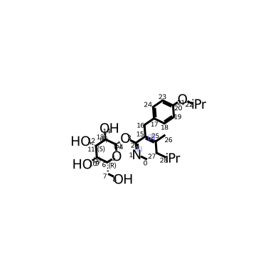 C/N=C(O[C@@H]1O[C@H](CO)[C@@H](O)[C@H](O)[C@H]1O)\C(Cc1ccc(OC(C)C)cc1)=C(\C)CC(C)C